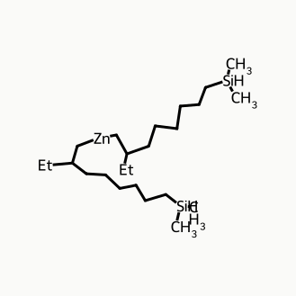 CCC(CCCCCC[SiH](C)C)[CH2][Zn][CH2]C(CC)CCCCCC[SiH](C)C